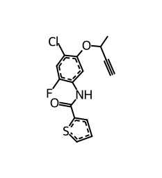 C#CC(C)Oc1cc(NC(=O)c2cccs2)c(F)cc1Cl